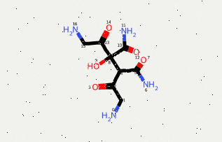 NCC(=O)C(C(N)=O)C(O)(C(N)=O)C(=O)CN